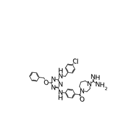 N=C(N)N1CCCN(C(=O)c2ccc(Nc3nc(NCc4ccc(Cl)cc4)nc(OCc4ccccc4)n3)cc2)CC1